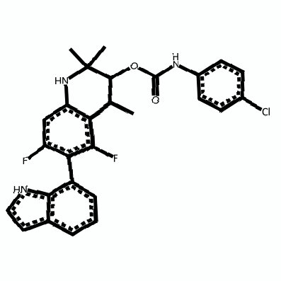 CC1c2c(cc(F)c(-c3cccc4cc[nH]c34)c2F)NC(C)(C)C1OC(=O)Nc1ccc(Cl)cc1